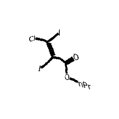 CCCOC(=O)C(I)=C(Cl)I